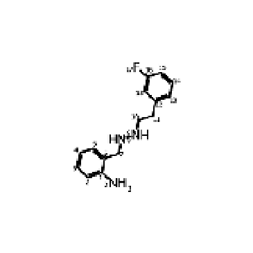 Nc1ccccc1CNNCCc1cccc(F)c1